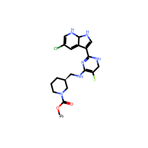 CC(C)OC(=O)N1CCC[C@@H](CNC2=C(F)CNC(C3=CNC4NC=C(Cl)C=C34)=N2)C1